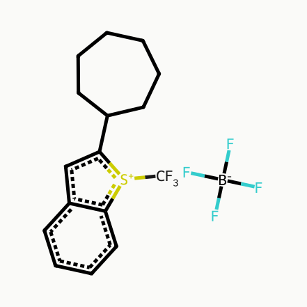 FC(F)(F)[s+]1c(C2CCCCCC2)cc2ccccc21.F[B-](F)(F)F